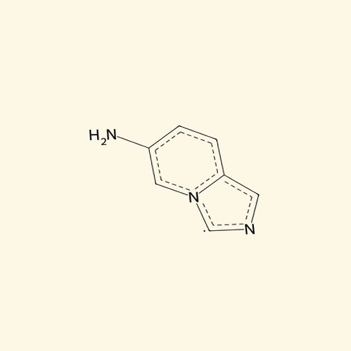 Nc1ccc2cn[c]n2c1